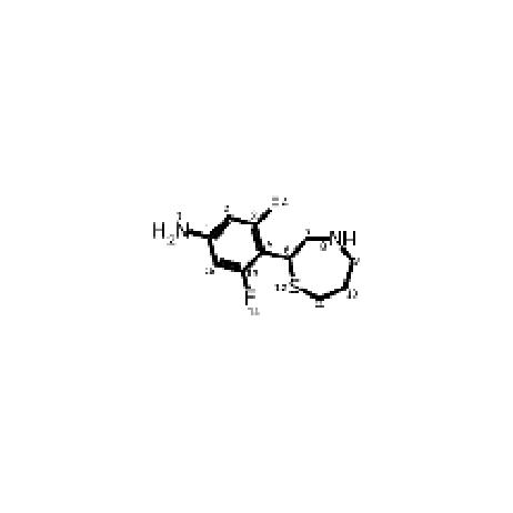 Nc1cc(F)c(C2CNCCCS2)c(F)c1